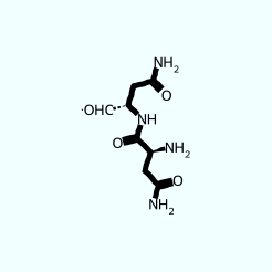 NC(=O)C[C@@H]([C]=O)NC(=O)[C@@H](N)CC(N)=O